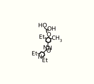 CCc1cc(-c2nc(-c3cc(C)c(OC[C@@H](O)CO)c(CC)c3)no2)cc(CC)n1